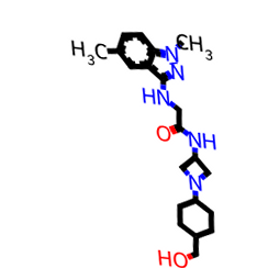 Cc1ccc2c(c1)c(NCC(=O)NC1CN(C3CCC(CO)CC3)C1)nn2C